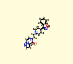 O=c1c2ccnn2ccn1CCN1CCC(c2noc3ccccc23)CC1